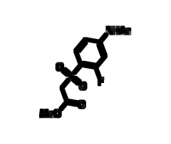 COC(=O)CS(=O)(=O)c1ccc(NC(C)=O)cc1F